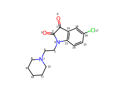 O=C1C(=O)N(CCN2CCCCC2)c2ccc(Cl)cc21